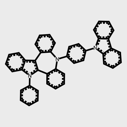 c1ccc(-n2c3c(c4ccccc42)-c2ccccc2N(c2ccc(-n4c5ccccc5c5ccccc54)cc2)c2ccccc2-3)cc1